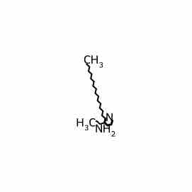 CCCCCCCCCCCCCCCCc1ncccc1C(N)CC